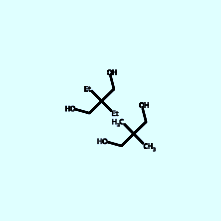 CC(C)(CO)CO.CCC(CC)(CO)CO